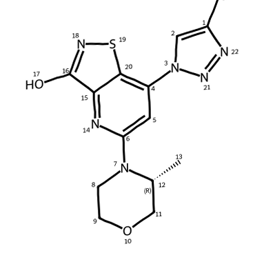 Cc1cn(-c2cc(N3CCOC[C@H]3C)nc3c(O)nsc23)nn1